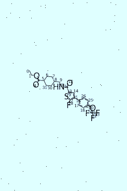 CCOC(=O)C1CCC(CNC(=O)c2cc(-c3ccc(OC(F)(F)F)cc3)c(F)s2)CC1